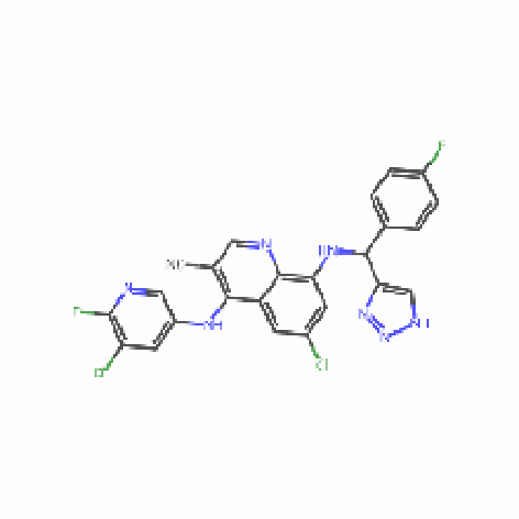 N#Cc1cnc2c(N[C@@H](c3ccc(F)cc3)c3c[nH]nn3)cc(Cl)cc2c1Nc1cnc(F)c(Cl)c1